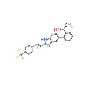 CC(O)c1ccccc1-c1ccc2[nH]c(/C=C/c3ccc(C(F)(F)F)cc3)nc2c1